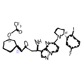 N=C(CC(=O)/C=C1/CCC[C@H](OC(=O)C(F)(F)F)C1)c1cnn2ccc(N3CCC[C@@H]3c3cc(F)ccc3I)nc12